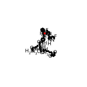 CC(C)[C@H](NC(=O)CCCCCN1C(=O)C=CC1=O)C(=O)N[C@@H](CCCNC(N)=O)C(=O)Nc1ccc(COC(=O)[C@H]2C3CCC(CC3)[C@@H]2Nc2nc(-c3c[nH]c4ncc(F)cc34)ncc2F)cc1